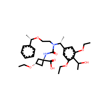 CCOc1cc([C@@H](C)N(CCO[C@@H](C)c2ccccc2)C(=O)N[C@]2(C(=O)O)C[C@@H](OCC)C2)cc(OCC)c1C(C)O